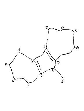 C[C]1C2=C(CCCC2)C2=C1CCCC2